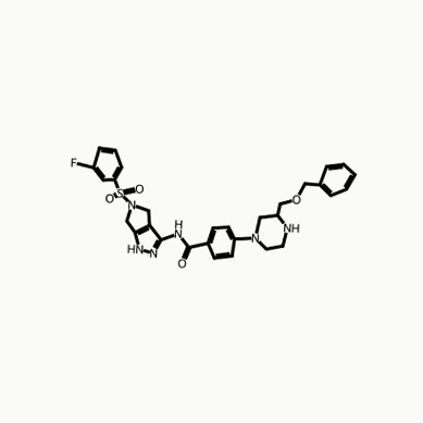 O=C(Nc1n[nH]c2c1CN(S(=O)(=O)c1cccc(F)c1)C2)c1ccc(N2CCNC(COCc3ccccc3)C2)cc1